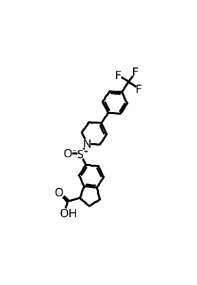 O=C(O)C1CCc2ccc([S+]([O-])N3CC=C(c4ccc(C(F)(F)F)cc4)CC3)cc21